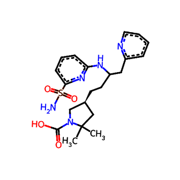 CC1(C)C[C@H](CCC(Cc2ccccn2)Nc2cccc(S(N)(=O)=O)n2)CN1C(=O)O